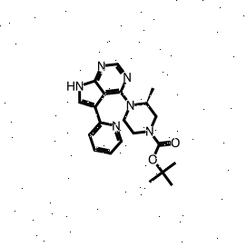 C[C@H]1CN(C(=O)OC(C)(C)C)CCN1c1ncnc2[nH]cc(-c3ccccn3)c12